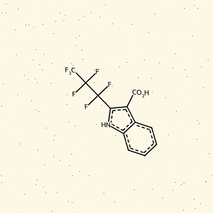 O=C(O)c1c(C(F)(F)C(F)(F)C(F)(F)F)[nH]c2ccccc12